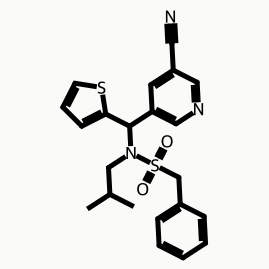 CC(C)CN(C(c1cncc(C#N)c1)c1cccs1)S(=O)(=O)Cc1ccccc1